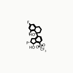 O=S(=O)(c1ccc([C@]2(O)CCCc3cc(F)cc(F)c32)c2c1[C@H](O)[C@H](F)C2)C(F)(F)F